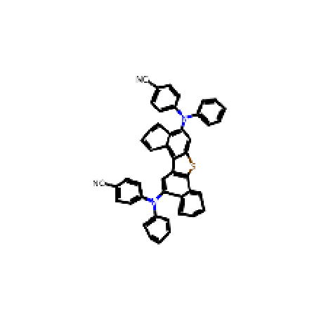 N#Cc1ccc(N(c2ccccc2)c2cc3c(sc4cc(N(c5ccccc5)c5ccc(C#N)cc5)c5ccccc5c43)c3ccccc23)cc1